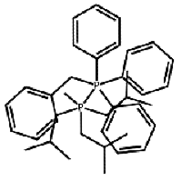 CC(C)CP(C)(CC(C)C)(CC(C)C)P(Cc1ccccc1)(c1ccccc1)(c1ccccc1)c1ccccc1